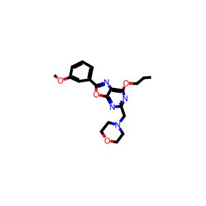 CCCOc1nc(CN2CCOCC2)nc2oc(-c3cccc(OC)c3)nc12